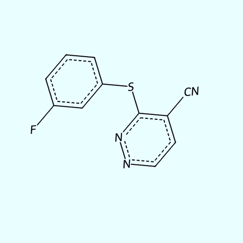 N#Cc1ccnnc1Sc1cccc(F)c1